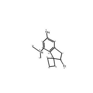 CCC1Cc2cc(O)cc([SH](C)C)c2C12CCC2